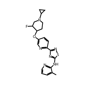 Cc1cccnc1Nc1nc(-c2ccc(OC3CCN(C4CC4)CC3F)cn2)ns1